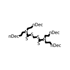 CCCCCCCCCCCCN(CCCCCCCCCCCC)C(=S)SCSC(=S)N(CCCCCCCCCCCC)CCCCCCCCCCCC